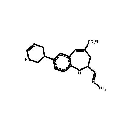 CCOC(=O)C1=Cc2cc(C3CC=CNC3)ccc2NC(N=NN)C1